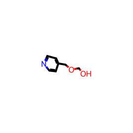 OCOCc1ccncc1